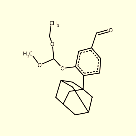 CCOC(OC)Oc1cc(C=O)ccc1C12CC3CC(CC(C3)C1)C2